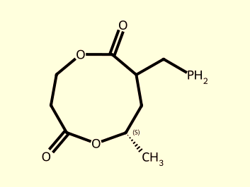 C[C@H]1CC(CP)C(=O)OCCC(=O)O1